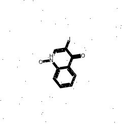 O=C1C(I)=C[NH+]([O-])c2ccccc21